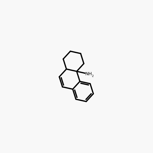 NC12CCCCC1C=Cc1ccccc12